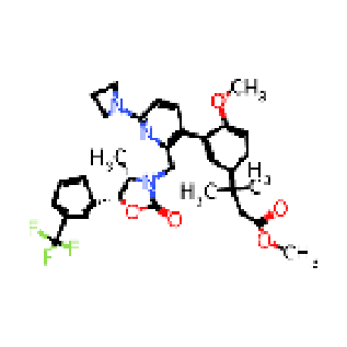 COC(=O)CC(C)(C)C1C=C(c2ccc(N3CCC3)nc2CN2C(=O)O[C@H](c3cccc(C(F)(F)F)c3)[C@@H]2C)C(OC)=CC1